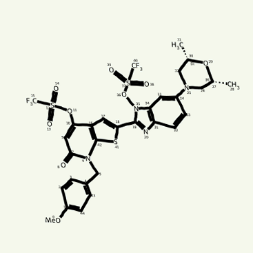 COc1ccc(Cn2c(=O)cc(OS(=O)(=O)C(F)(F)F)c3cc(-c4nc5ccc(N6C[C@@H](C)O[C@@H](C)C6)cc5n4OS(=O)(=O)C(F)(F)F)sc32)cc1